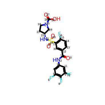 O=C(Nc1cc(F)c(F)c(F)c1)c1ccc(F)c(S(=O)(=O)N[C@H]2CCN(C(=O)O)C2)c1